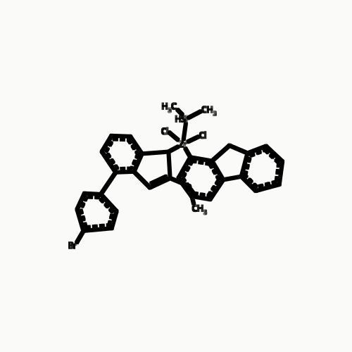 CCC1=Cc2c(-c3ccc(Br)cc3)cccc2[CH]1[Zr]([Cl])([Cl])([c]1cccc2c1Cc1ccccc1-2)[SiH](C)C